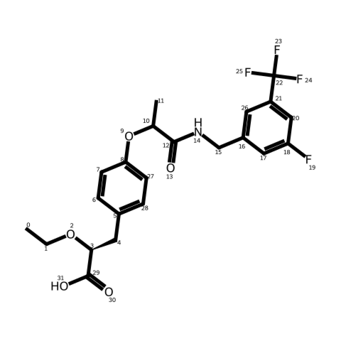 CCO[C@@H](Cc1ccc(OC(C)C(=O)NCc2cc(F)cc(C(F)(F)F)c2)cc1)C(=O)O